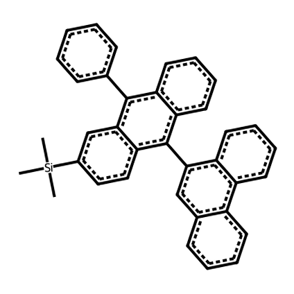 C[Si](C)(C)c1ccc2c(-c3cc4ccccc4c4ccccc34)c3ccccc3c(-c3ccccc3)c2c1